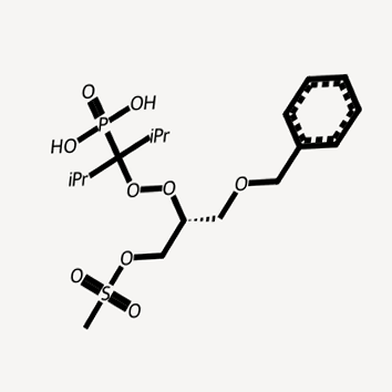 CC(C)C(OO[C@H](COCc1ccccc1)COS(C)(=O)=O)(C(C)C)P(=O)(O)O